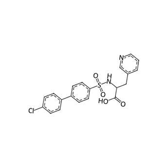 O=C(O)C(Cc1cccnc1)NS(=O)(=O)c1ccc(-c2ccc(Cl)cc2)cc1